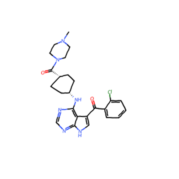 CN1CCN(C(=O)[C@H]2CC[C@@H](Nc3ncnc4[nH]cc(C(=O)c5ccccc5Cl)c34)CC2)CC1